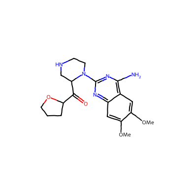 COc1cc2nc(N3CCNCC3C(=O)C3CCCO3)nc(N)c2cc1OC